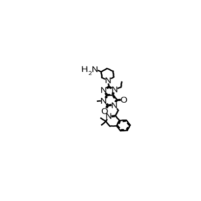 CCn1c(N2CCCC(N)C2)nc2c1c(=O)n(CC1=NC(C)(C)Cc3ccccc31)c(=O)n2C